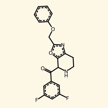 O=C(c1cc(F)cc(F)c1)C1NCCc2nc(COc3ccccc3)oc21